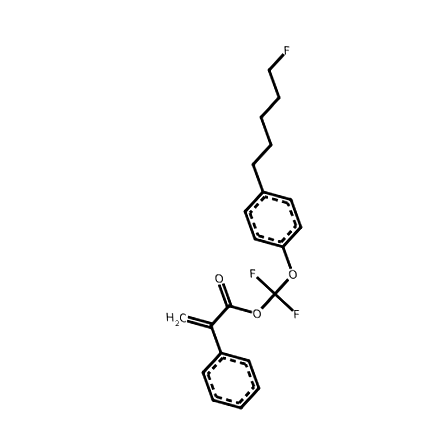 C=C(C(=O)OC(F)(F)Oc1ccc(CCCCCF)cc1)c1ccccc1